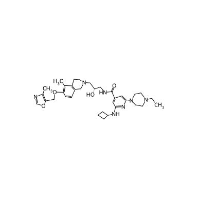 CCN1CCN(c2cc(C(=O)NC[C@H](O)CN3CCc4c(ccc(OCc5ocnc5C)c4C)C3)cc(NC3CCC3)n2)CC1